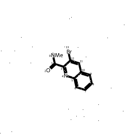 CNC(=O)c1nc2ccccc2cc1Br